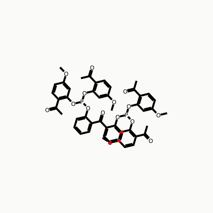 COc1ccc(C(C)=O)c(OP(Oc2cc(OC)ccc2C(C)=O)Oc2ccccc2C(=O)c2ccccc2OP(Oc2cc(OC)ccc2C(C)=O)Oc2cc(OC)ccc2C(C)=O)c1